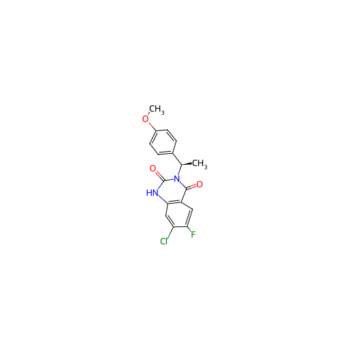 COc1ccc([C@@H](C)n2c(=O)[nH]c3cc(Cl)c(F)cc3c2=O)cc1